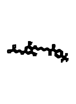 O=C(NCCCCOc1c(Br)cc(OCC=C(Cl)Cl)cc1Br)c1ccc(C(F)(F)F)cc1